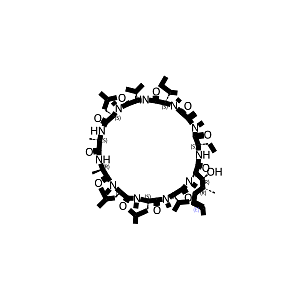 C=C1C(=O)N(C)[C@@H](C(C)CC)C(=O)N[C@@H](C(C)C)C(=O)N(C)[C@@H](CC(C)C)C(=O)N[C@@H](C)C(=O)N[C@H](C)C(=O)N(C)[C@@H](CC(C)C)C(=O)N(C)[C@@H](CC(C)C)C(=O)N(C)[C@@H](C(C)C)C(=O)N(C)[C@@H]([C@H](O)[C@H](C)C/C=C/C)C(=O)N[C@@H](CC)C(=O)N1C